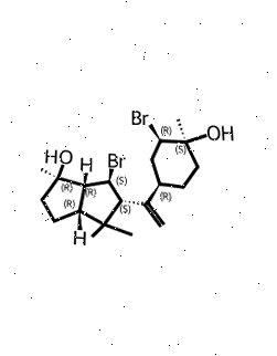 C=C([C@@H]1CC[C@](C)(O)[C@H](Br)C1)[C@H]1[C@H](Br)[C@@H]2[C@@H](CC[C@@]2(C)O)C1(C)C